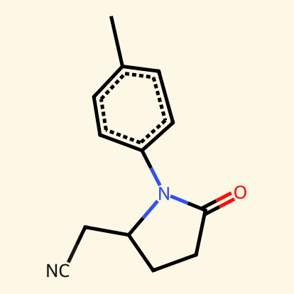 Cc1ccc(N2C(=O)CCC2CC#N)cc1